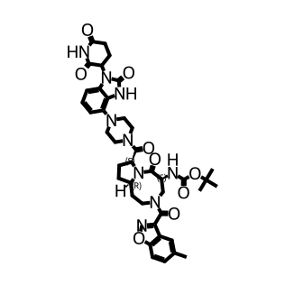 Cc1ccc2onc(C(=O)N3CC[C@H]4CC[C@@H](C(=O)N5CCN(c6cccc7c6[nH]c(=O)n7C6CCC(=O)NC6=O)CC5)N4C(=O)[C@@H](NC(=O)OC(C)(C)C)C3)c2c1